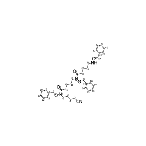 N#CCCCCN(OCc1ccccc1)C(=O)CCCCN(OCc1ccccc1)C(=O)CCCCNOCc1ccccc1